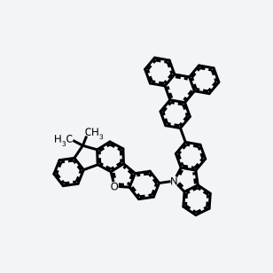 CC1(C)c2ccccc2-c2c1ccc1c2oc2ccc(-n3c4ccccc4c4ccc(-c5ccc6c7ccccc7c7ccccc7c6c5)cc43)cc21